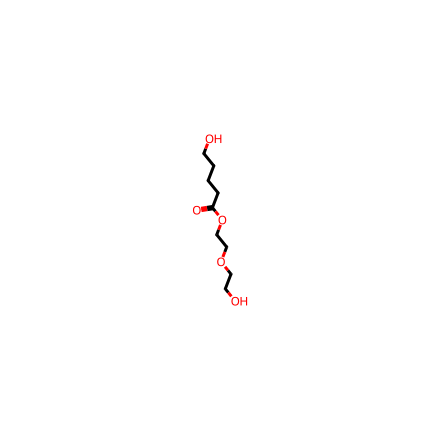 O=C(CCCCO)OCCOCCO